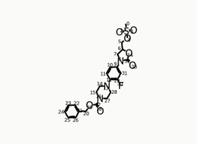 CS(=O)(=O)OCC1CN(c2ccc(N3CCN(C(=O)OCc4ccccc4)CC3)c(F)c2)C(=O)O1